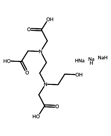 O=C(O)CN(CCO)CCN(CC(=O)O)CC(=O)O.[NaH].[NaH].[NaH]